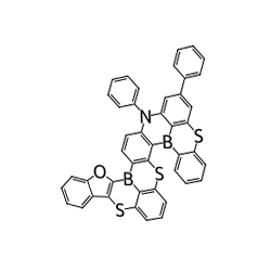 c1ccc(-c2cc3c4c(c2)N(c2ccccc2)c2ccc5c(c2B4c2ccccc2S3)Sc2cccc3c2B5c2oc4ccccc4c2S3)cc1